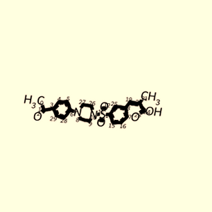 CC(=O)c1ccc(N2CCN(S(=O)(=O)c3cccc(C=C(C)C(=O)O)c3)CC2)cc1